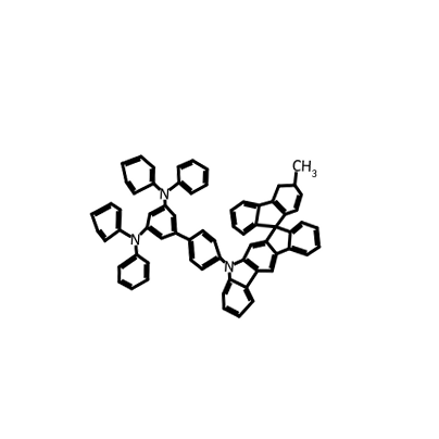 CC1C=CC2=C(C1)c1ccccc1C21c2ccccc2-c2cc3c4ccccc4n(-c4ccc(-c5cc(N(c6ccccc6)c6ccccc6)cc(N(c6ccccc6)c6ccccc6)c5)cc4)c3cc21